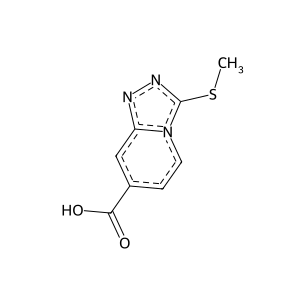 CSc1nnc2cc(C(=O)O)ccn12